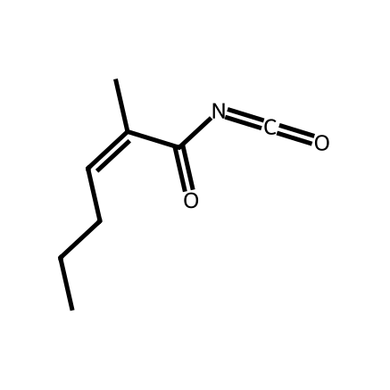 CCCC=C(C)C(=O)N=C=O